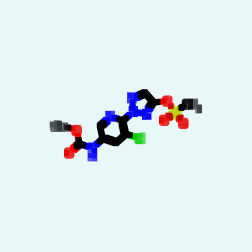 CC(C)(C)OC(=O)Nc1cnc(-n2ncc(OS(C)(=O)=O)n2)c(Cl)c1